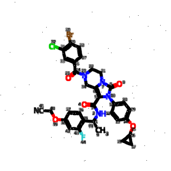 C[C@H](NC(=O)c1c2n(c(=O)n1-c1ccc(OC3CC3)cc1)CCN(C(=O)c1ccc(Br)c(Cl)c1)C2)c1ccc(OCC#N)cc1F